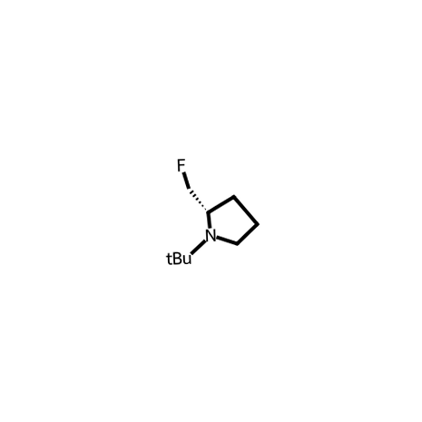 CC(C)(C)N1CCC[C@H]1CF